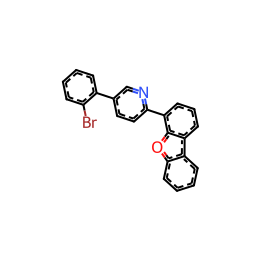 Brc1ccccc1-c1ccc(-c2cccc3c2oc2ccccc23)nc1